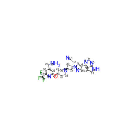 N#CC[C@]1(n2cc(-c3ncnc4[nH]ccc34)cn2)C[C@@H](N2CCC(Oc3cc(CN)cc(C(F)(F)F)n3)CC2)C1